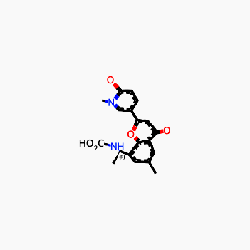 Cc1cc([C@@H](C)NC(=O)O)c2oc(-c3ccc(=O)n(C)c3)cc(=O)c2c1